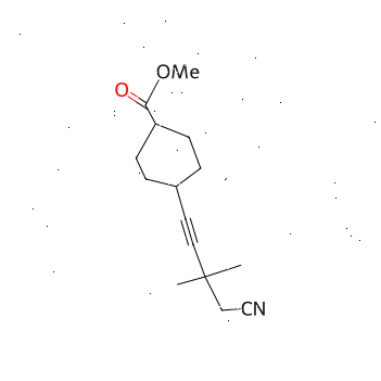 COC(=O)C1CCC(C#CC(C)(C)CC#N)CC1